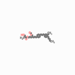 C=C(CO)C(=O)OCCCC(CCCC1CCC(CCCc2ccc(CCCCC)c(CC)c2)CC1)COC=O